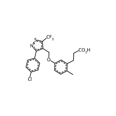 Cc1ccc(OCc2c(-c3ccc(Cl)cc3)nsc2C(F)(F)F)cc1CCC(=O)O